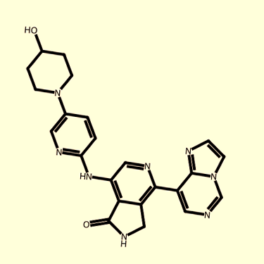 O=C1NCc2c(-c3cncn4ccnc34)ncc(Nc3ccc(N4CCC(O)CC4)cn3)c21